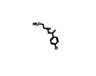 CC(SNCCC(=O)O)c1ccc(Cl)cc1